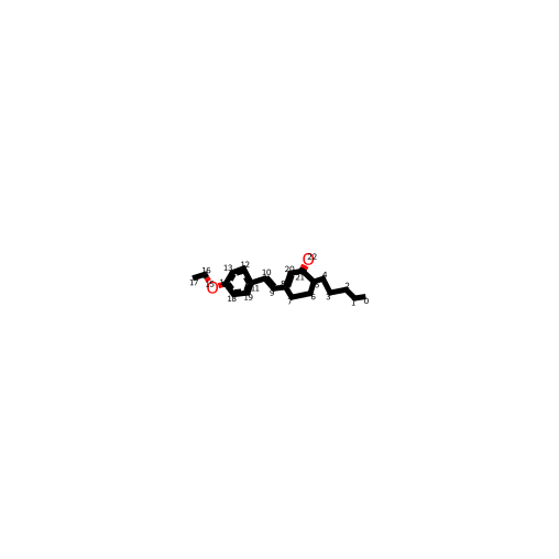 CCCCCC1CCC(/C=C/c2ccc(OCC)cc2)=CC1=O